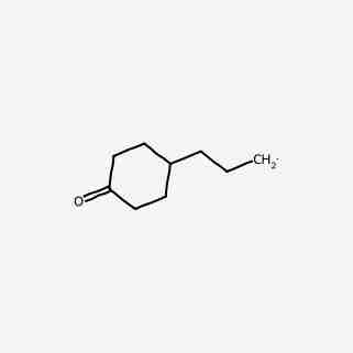 [CH2]CCC1CCC(=O)CC1